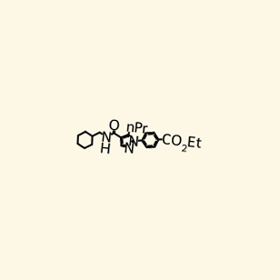 CCCc1c(C(=O)NCC2CCCCC2)cnn1-c1ccc(C(=O)OCC)cc1